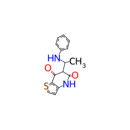 CC(Nc1ccccc1)C1C(=O)Nc2ccsc2C1=O